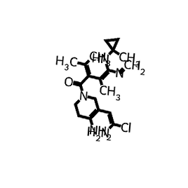 C=N/C(NC1(C)CC1)=C(\C)C(C(=O)N1CCC(N)=C(/C=C(\N)Cl)C1)=C(C)C